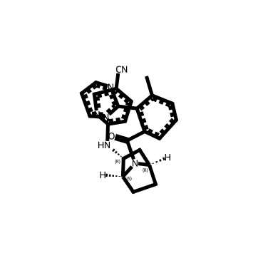 Cc1cccc(C(=O)N2[C@@H]3CC[C@H]2[C@H](Nc2ccc(C#N)cn2)C3)c1-c1ncccn1